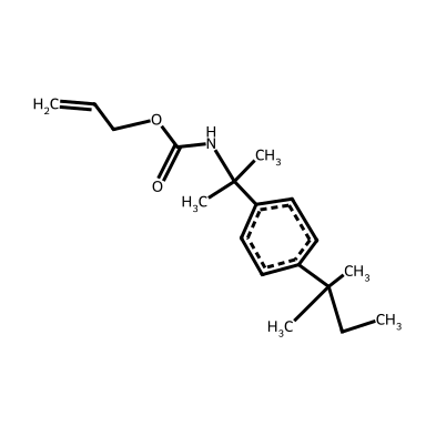 C=CCOC(=O)NC(C)(C)c1ccc(C(C)(C)CC)cc1